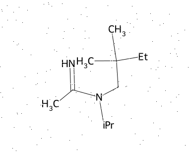 CCC(C)(C)CN(C(C)=N)C(C)C